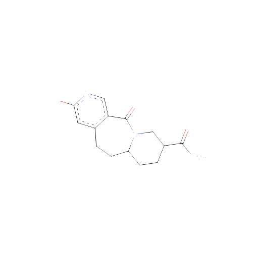 COC(=O)C1CCC2CCc3cc(O)ncc3C(=O)N2C1